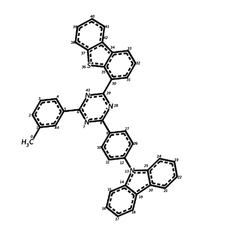 Cc1cccc(-c2nc(-c3ccc(-n4c5ccccc5c5ccccc54)cc3)nc(-c3cccc4c3sc3ccccc34)n2)c1